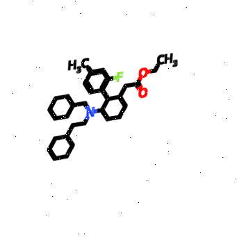 CCOC(=O)CC1CCCC(N(CCC2CCCCC2)CC2CCCCC2)C1c1ccc(C)cc1F